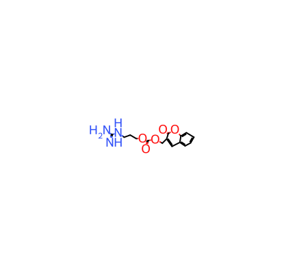 N=C(N)NCCCOC(=O)OCc1cc2ccccc2oc1=O